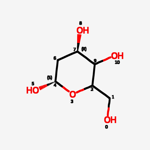 OCC1O[C@H](O)C[C@@H](O)C1O